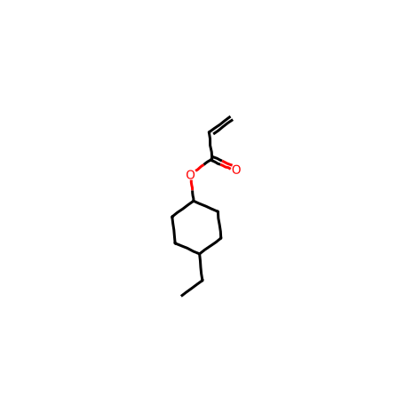 C=CC(=O)OC1CCC(CC)CC1